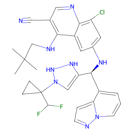 CC(C)(C)CNc1c(C#N)cnc2c(Cl)cc(N[C@H](C3=CN(C4(C(F)F)CC4)NN3)c3cccn4nccc34)cc12